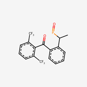 CC(P=O)c1ccccc1C(=O)c1c(C(F)(F)F)cccc1C(F)(F)F